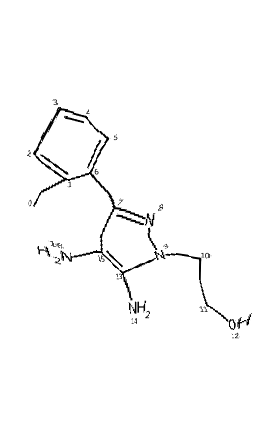 Cc1ccccc1-c1nn(CCO)c(N)c1N